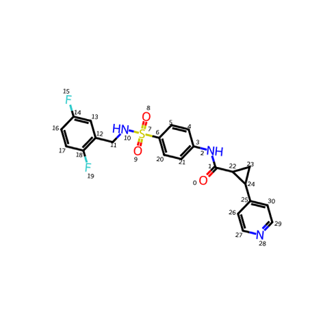 O=C(Nc1ccc(S(=O)(=O)NCc2cc(F)ccc2F)cc1)C1CC1c1ccncc1